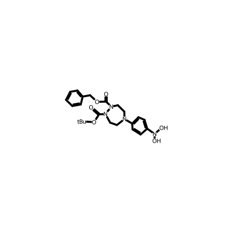 CC(C)(C)OC(=O)N1CCN(c2ccc(N(O)O)cc2)CCN1C(=O)OCc1ccccc1